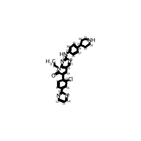 CCn1c(=O)c(-c2ccc(-c3ncccn3)cc2Cl)cc2cnc(Nc3ccc(C4CCNCC4)cc3)nc21